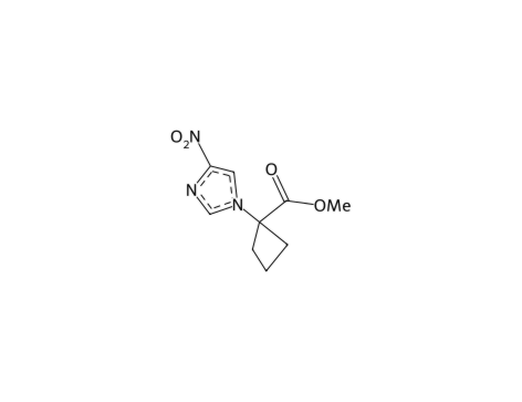 COC(=O)C1(n2cnc([N+](=O)[O-])c2)CCC1